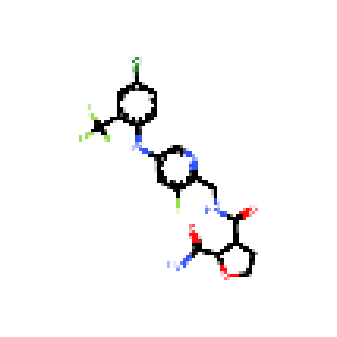 NC(=O)C1OCC[C]1C(=O)NCc1ncc(Nc2ccc(Cl)cc2C(F)(F)F)cc1F